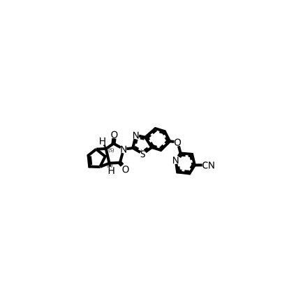 N#Cc1ccnc(Oc2ccc3nc(N4C(=O)[C@@H]5C6C=CC(C6)[C@@H]5C4=O)sc3c2)c1